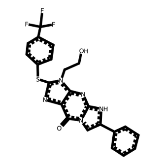 O=c1c2nc(Sc3ccc(C(F)(F)F)cc3)n(CCO)c2nc2[nH]c(-c3ccccc3)cn12